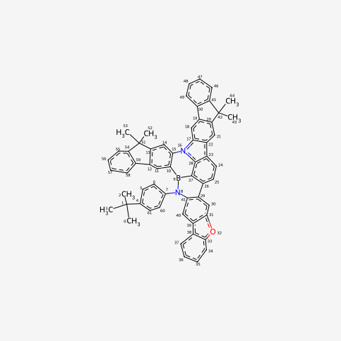 CC(C)(C)c1ccc(N2B3c4cc5c(cc4-n4c6cc7c(cc6c6ccc(c3c64)-c3cc4oc6ccccc6c4cc32)C(C)(C)c2ccccc2-7)C(C)(C)c2ccccc2-5)cc1